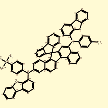 Cc1ccc(N(c2cc3c(c4ccccc24)-c2ccc4cc(N(c5ccc([Si](C)(C)C)cc5)c5cccc6c5oc5ccccc56)ccc4c2C32c3ccccc3-c3ccccc32)c2cccc3c2oc2ccccc23)cc1